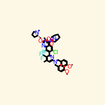 COc1ccc(CN(Cc2ccc(OC)cc2)c2cc(C)c(C(F)(F)F)c(-c3c(Cl)cc4c(N5CC6CCC(C5)N6C(=O)OC(C)(C)C)nc(OC[C@@H]5CCCN5C)nc4c3F)n2)cc1